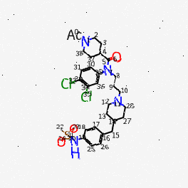 CC(=O)N1CCC(C(=O)N(CCCN2CCC(Cc3ccc(NS(C)(=O)=O)cc3)CC2)c2ccc(Cl)c(Cl)c2)CC1